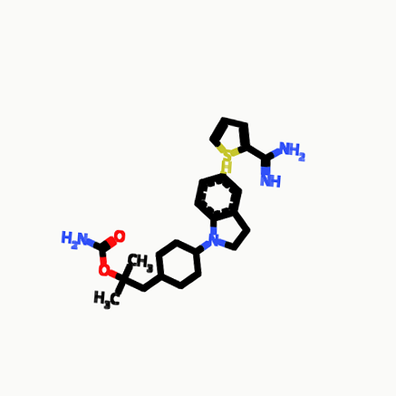 CC(C)(CC1CCC(N2CCc3cc([SH]4C=CC=C4C(=N)N)ccc32)CC1)OC(N)=O